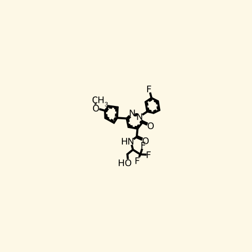 COc1ccc(-c2cc(C(=O)NC(CO)C(F)(F)F)c(=O)n(-c3cccc(F)c3)n2)cc1